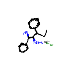 CCC(C(=N)C(=N)c1ccccc1)c1ccccc1.[Br-].[Br-].[Ni+2]